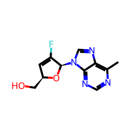 Cc1ncnc2c1ncn2[C@H]1O[C@@H](CO)C=C1F